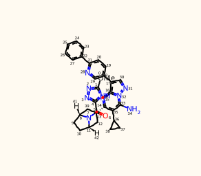 COc1nnc(C(=O)N2[C@@H]3CC[C@H]2C[C@@H](c2nc4c(-c5ccc(-c6ccccc6)nc5)cnn4c(N)c2C2CC2)C3)[nH]1